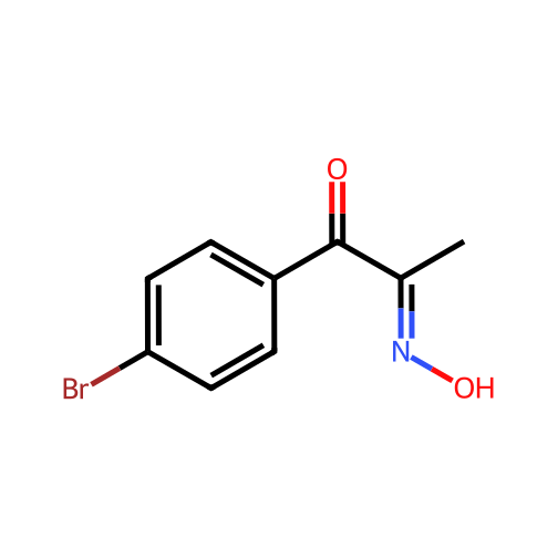 CC(=NO)C(=O)c1ccc(Br)cc1